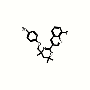 CC1(COc2ccc(Br)cc2)CC(C)(C)OC(c2cnc3c(F)cccc3c2)=N1